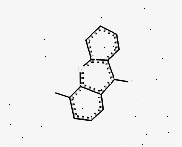 CC(=O)c1c2ccccc2nc2c(O)cccc12